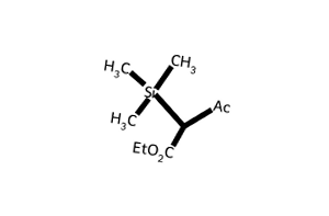 CCOC(=O)C(C(C)=O)[Si](C)(C)C